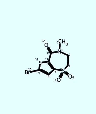 CN1CCS(=O)(=O)c2cc(Br)sc2C1=O